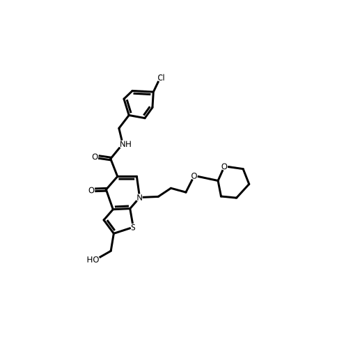 O=C(NCc1ccc(Cl)cc1)c1cn(CCCOC2CCCCO2)c2sc(CO)cc2c1=O